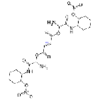 NC(OC(=O)/C=C/C(=O)OC(N)C(=O)NC1CCCCC1O[N+](=O)[O-])C(=O)NC1CCCCC1O[N+](=O)[O-]